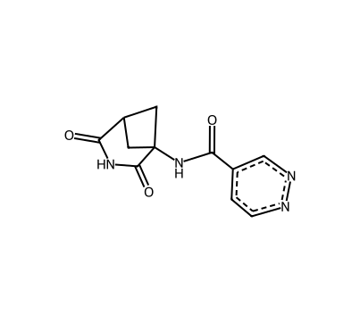 O=C(NC12CC(C1)C(=O)NC2=O)c1ccnnc1